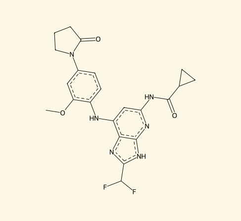 COc1cc(N2CCCC2=O)ccc1Nc1cc(NC(=O)C2CC2)nc2[nH]c(C(F)F)nc12